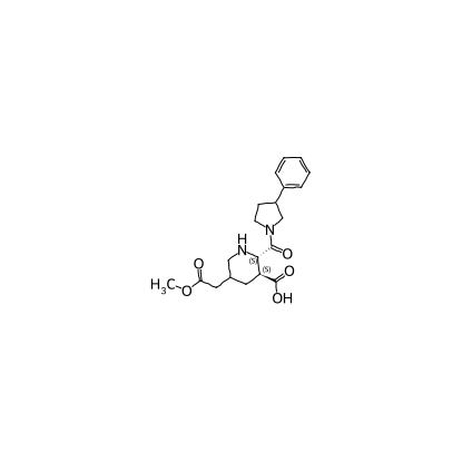 COC(=O)CC1CN[C@H](C(=O)N2CCC(c3ccccc3)C2)[C@@H](C(=O)O)C1